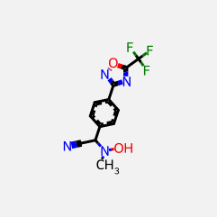 CN(O)C(C#N)c1ccc(-c2noc(C(F)(F)F)n2)cc1